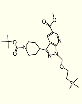 COC(=O)c1cnc2c(c1)c(C1CCN(C(=O)OC(C)(C)C)CC1)nn2COCC[Si](C)(C)C